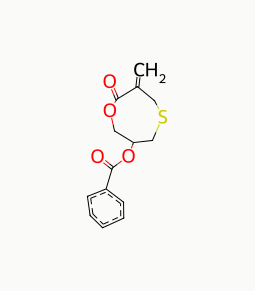 C=C1CSCC(OC(=O)c2ccccc2)COC1=O